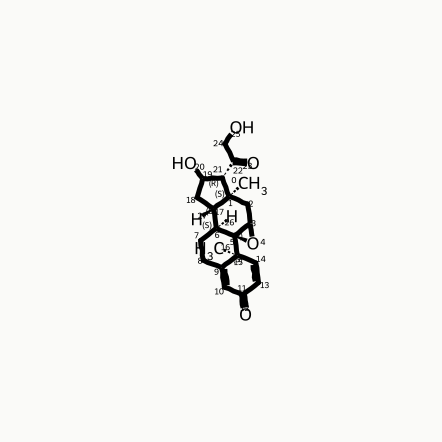 C[C@]12CC3O[C@@]34[C@@H](CCC3=CC(=O)C=C[C@@]34C)[C@@H]1CC(O)[C@@H]2C(=O)CO